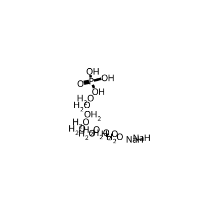 O.O.O.O.O.O.O.O.O.O.O=P(O)(O)O.[NaH].[NaH]